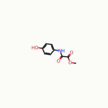 COC(=O)C(=O)Nc1ccc(O)cc1